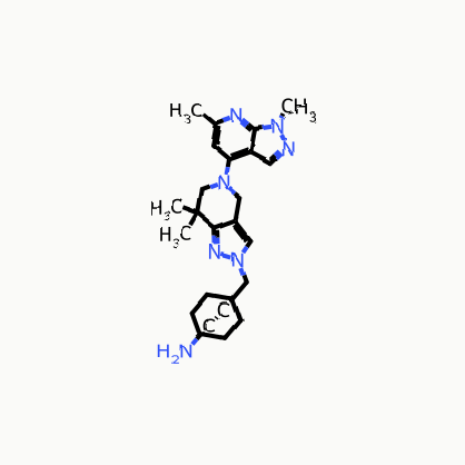 Cc1cc(N2Cc3cn(CC45CCC(N)(CC4)CC5)nc3C(C)(C)C2)c2cnn(C)c2n1